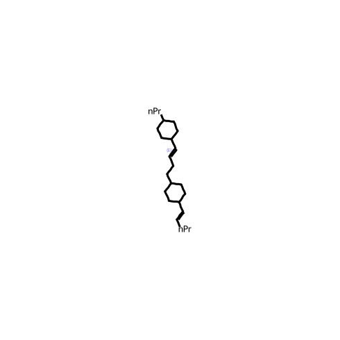 CCCC=CC1CCC(CC/C=C/C2CCC(CCC)CC2)CC1